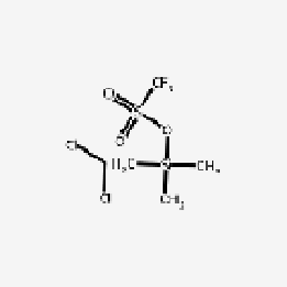 C[Si](C)(C)OS(=O)(=O)C(F)(F)F.ClCCl